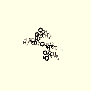 CCOC(=O)c1nc(-c2ccc(C[C@@H](CCO[Si](c3ccccc3)(c3ccccc3)C(C)(C)C)NC(=O)OC(C)(C)C)cc2)cn1CCO[Si](c1ccccc1)(c1ccccc1)C(C)(C)C